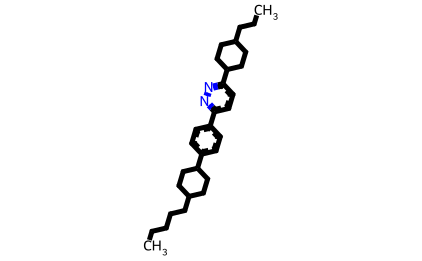 CCCCCC1CCC(c2ccc(-c3ccc(C4CCC(CCC)CC4)nn3)cc2)CC1